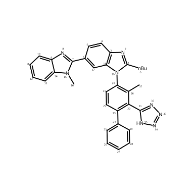 CCCCc1nc2ccc(-c3nc4ccccc4n3C)cc2n1-c1ccc(-c2ccccc2)c(-c2nnn[nH]2)c1C